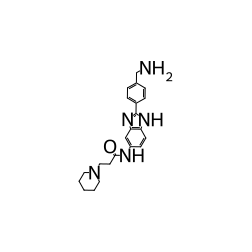 NCc1ccc(-c2nc3cc(NC(=O)CCN4CCCCC4)ccc3[nH]2)cc1